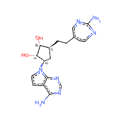 Nc1ncc(CC[C@H]2C[C@@H](n3ccc4c(N)ncnc43)[C@H](O)[C@@H]2O)cn1